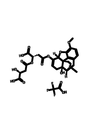 COc1ccc2c3c1O[C@H]1C(OC(=O)C[C@H](OC(=O)C[C@H](O)C(=O)O)C(=O)O)=CC[C@@]4(O)[C@@H](C2)N(C)CC[C@]314.O=C(O)C(F)(F)F